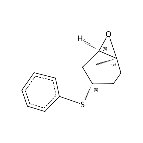 C[C@]12CC[C@H](Sc3ccccc3)C[C@H]1O2